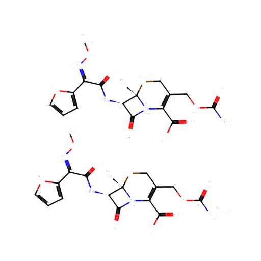 CO/N=C(\C(=O)N[C@@H]1C(=O)N2C(C(=O)[O-])=C(COC(N)=O)CS[C@@H]12)c1ccco1.CO/N=C(\C(=O)N[C@@H]1C(=O)N2C(C(=O)[O-])=C(COC(N)=O)CS[C@@H]12)c1ccco1.[Ca+2]